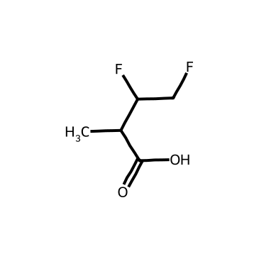 CC(C(=O)O)C(F)CF